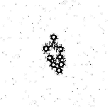 c1ccc(-c2ccc3c4ccccc4n(-c4cc(-c5cccc(-c6nc(-c7ccccc7)nc(-c7ccccc7)n6)n5)cc5sc6ccccc6c45)c3c2)cc1